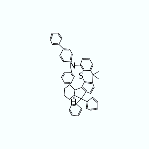 CC1(C)c2cccc(N(c3ccccc3)c3ccc(-c4ccccc4)cc3)c2Sc2c1ccc1c2C2CCCC[C@H]2C1(c1ccccc1)c1ccccc1